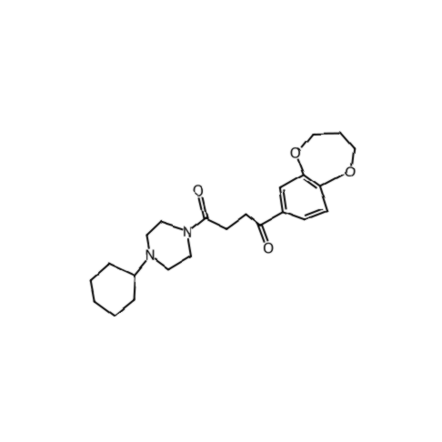 O=C(CCC(=O)N1CCN(C2CCCCC2)CC1)c1ccc2c(c1)OCCCO2